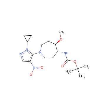 CO[C@@H]1CCN(c2c([N+](=O)[O-])cnn2C2CC2)CC[C@H]1NC(=O)OC(C)(C)C